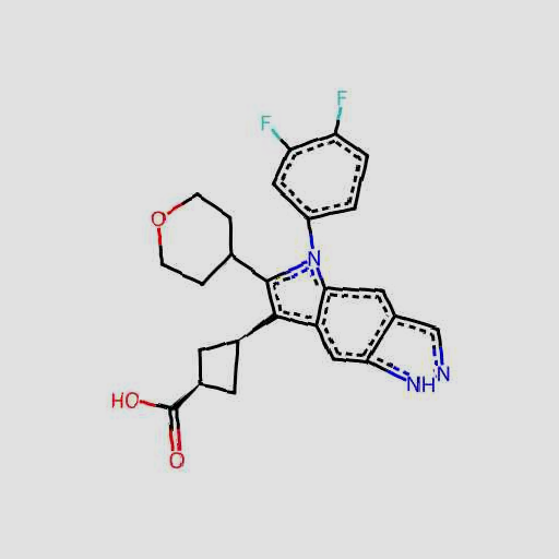 O=C(O)[C@H]1C[C@@H](c2c(C3CCOCC3)n(-c3ccc(F)c(F)c3)c3cc4cn[nH]c4cc32)C1